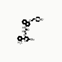 Cc1ccccc1C1OC=C(C(C)(C)C)C=C1N=NNC(=O)Nc1ccc(OCCN2CC[S+]([O-])CC2)c2ccccc12